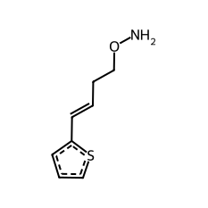 NOCCC=Cc1cccs1